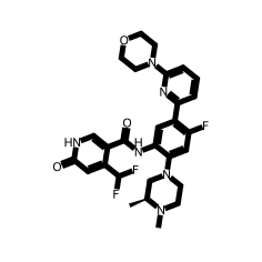 C[C@H]1CN(c2cc(F)c(-c3cccc(N4CCOCC4)n3)cc2NC(=O)c2c[nH]c(=O)cc2C(F)F)CCN1C